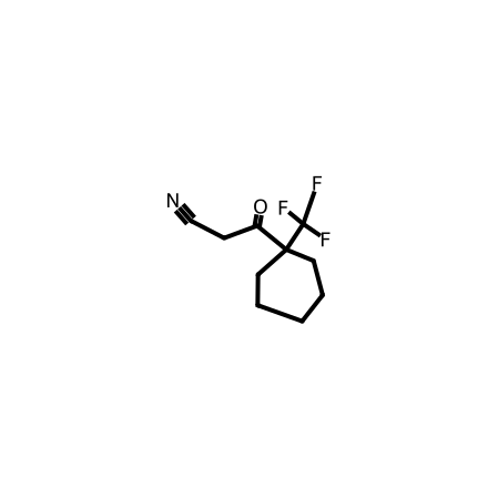 N#CCC(=O)C1(C(F)(F)F)CCCCC1